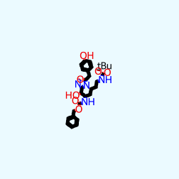 CC(C)(C)OC(=O)NCCCCC(NC(=O)OCc1ccccc1)C(O)c1noc(Cc2ccc(O)cc2)n1